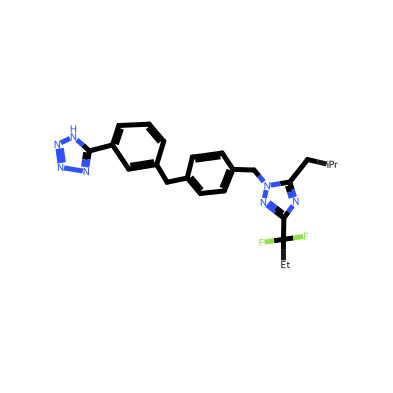 CCC(F)(F)c1nc(CC(C)C)n(Cc2ccc(Cc3cccc(-c4nnn[nH]4)c3)cc2)n1